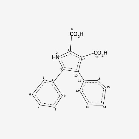 O=C(O)c1[nH]c(-c2ccccc2)c(-c2ccccc2)c1C(=O)O